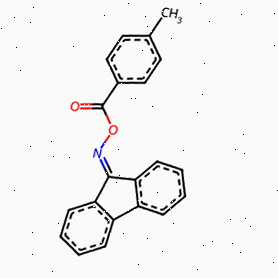 Cc1ccc(C(=O)ON=C2c3ccccc3-c3ccccc32)cc1